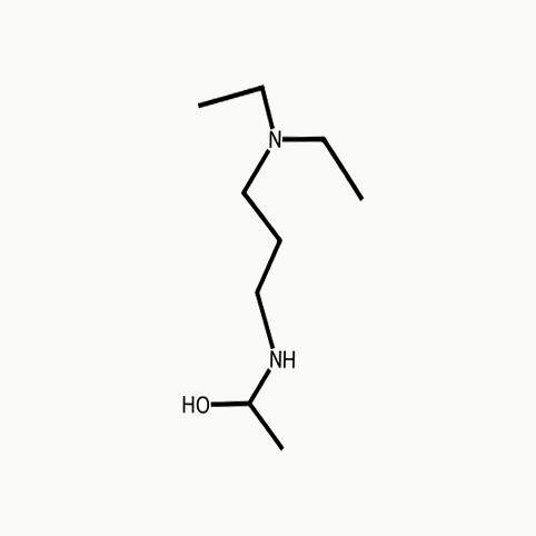 CCN(CC)CCCNC(C)O